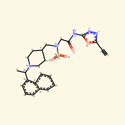 C#Cc1nnc(NC(=O)CN(CC2CCN(C(C)c3cccc4ccccc34)CC2)[SH](=O)=O)o1